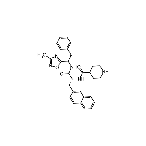 Cc1noc([C@@H](Cc2ccccc2)NC(=O)[C@@H](Cc2ccc3ccccc3c2)NC(=O)C2CCNCC2)n1